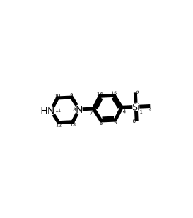 C[Si](C)(C)c1ccc(N2CCNCC2)cc1